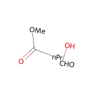 CCCC(=O)OC.O=CO